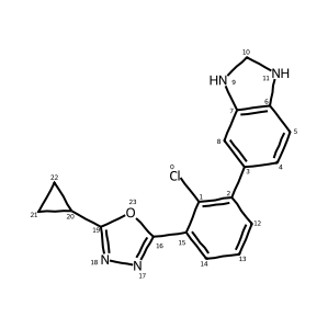 Clc1c(-c2ccc3c(c2)NCN3)cccc1-c1nnc(C2CC2)o1